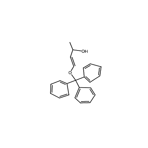 CC(O)C=COC(c1ccccc1)(c1ccccc1)c1ccccc1